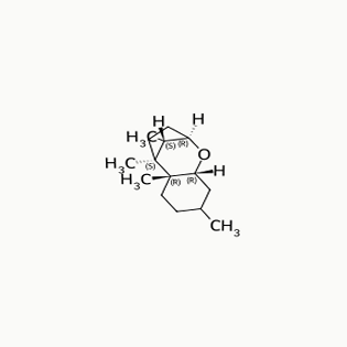 CC1CC[C@@]2(C)[C@@H](C1)O[C@@H]1CC[C@@]2(C)[C@@H]1C